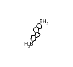 Bc1ccc2c(ccc3c4ccc(B)cc4ccc23)c1